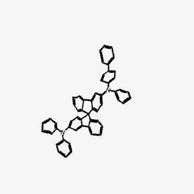 c1ccc(-c2ccc(N(c3ccccc3)c3ccc4c(c3)-c3ccccc3C43c4ccccc4-c4cc(N(c5ccccc5)c5ccccc5)ccc43)cc2)cc1